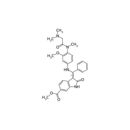 COC(=O)c1ccc2c(c1)NC(=O)/C2=C(/Nc1ccc(N(C)C(=O)CN(C)C)c(OC)c1)c1ccccc1